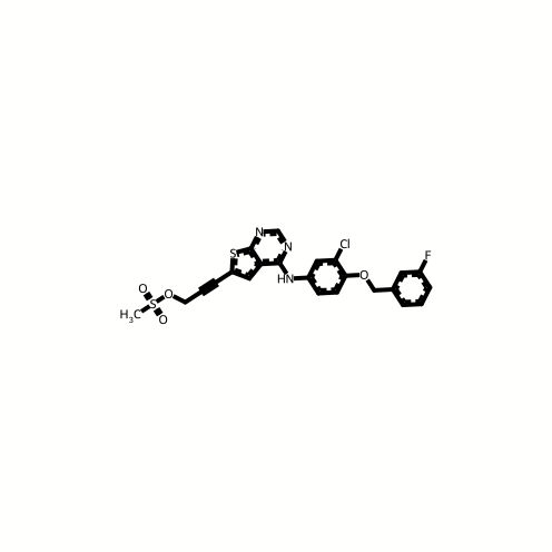 CS(=O)(=O)OCC#Cc1cc2c(Nc3ccc(OCc4cccc(F)c4)c(Cl)c3)ncnc2s1